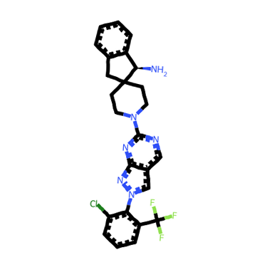 N[C@@H]1c2ccccc2CC12CCN(c1ncc3cn(-c4c(Cl)cccc4C(F)(F)F)nc3n1)CC2